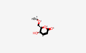 CCCCOC[C@H]1OC(=O)C=C[C@@H]1O